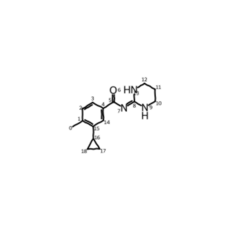 Cc1ccc(C(=O)N=C2NCCCN2)cc1C1CC1